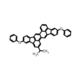 CC(C)c1cc2c3cc(Oc4ccccc4)ccc3c3cc4c(cc5c6ccc(Oc7ccccc7)cc6c6cccc4c65)c(c1)c23